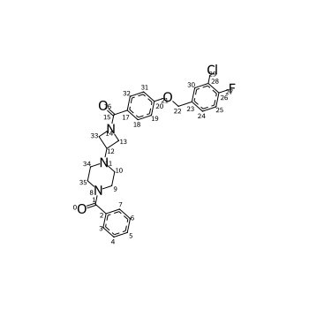 O=C(c1ccccc1)N1CCN(C2CN(C(=O)c3ccc(OCc4ccc(F)c(Cl)c4)cc3)C2)CC1